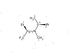 CC[C@@H](N(C)[C@@H](C)C(C)C)C(F)(F)F